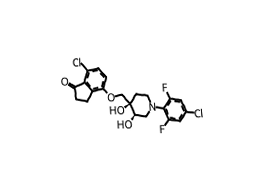 O=C1CCc2c(OC[C@]3(O)CCN(c4c(F)cc(Cl)cc4F)C[C@H]3O)ccc(Cl)c21